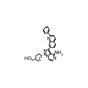 Nc1nccn2c1c(-c1ccc3ccc(-c4ccccc4)nc3c1)nc2[C@H]1CC[C@H](CO)CC1